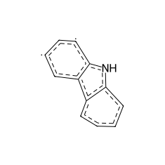 [c]1c[c]c2[nH]c3ccccc3c2c1